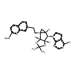 CNc1ccc2ccc(CC[C@@]34C[C@@H]3[C@@H](n3ccc5c(Cl)ncnc53)[C@@H]3OC(C)(C)O[C@@H]34)cc2n1